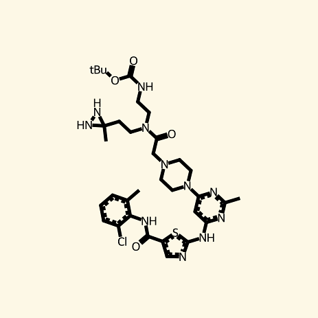 Cc1nc(Nc2ncc(C(=O)Nc3c(C)cccc3Cl)s2)cc(N2CCN(CC(=O)N(CCNC(=O)OC(C)(C)C)CCC3(C)NN3)CC2)n1